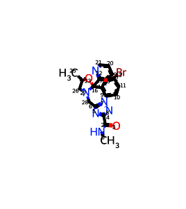 CNC(=O)c1nc2n(n1)-c1ccc(Br)cc1C1(c3ccccn3)OC(C)CN1C2